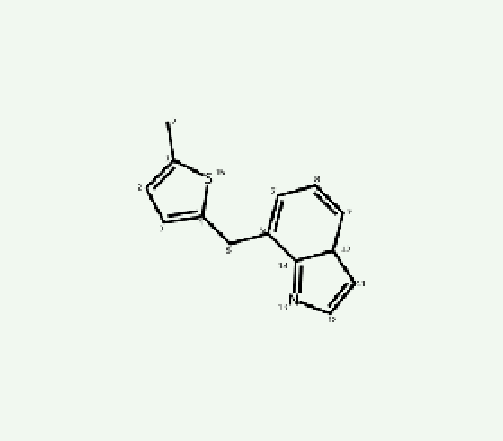 Cc1ccc(CC2=CC=CC3C=CN=C23)s1